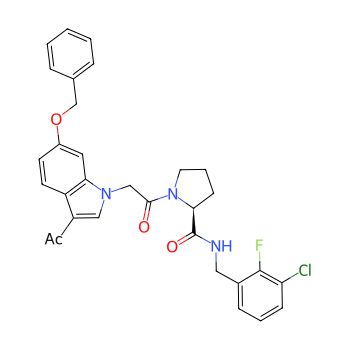 CC(=O)c1cn(CC(=O)N2CCC[C@H]2C(=O)NCc2cccc(Cl)c2F)c2cc(OCc3ccccc3)ccc12